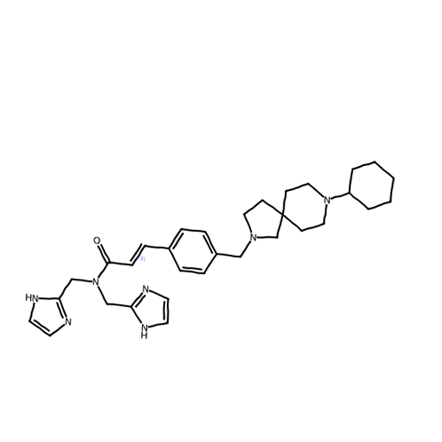 O=C(/C=C/c1ccc(CN2CCC3(CCN(C4CCCCC4)CC3)C2)cc1)N(Cc1ncc[nH]1)Cc1ncc[nH]1